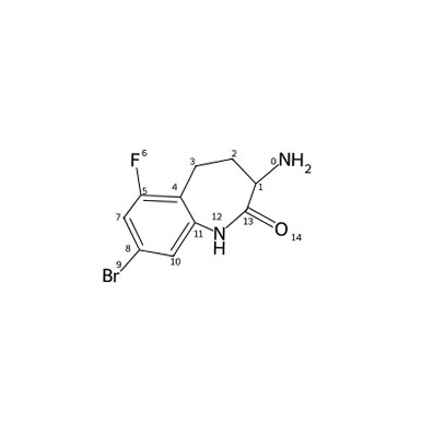 NC1CCc2c(F)cc(Br)cc2NC1=O